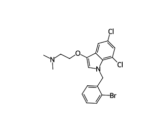 CN(C)CCOc1cn(Cc2ccccc2Br)c2c(Cl)cc(Cl)cc12